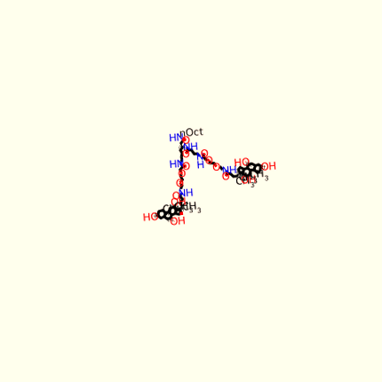 CCCCCCCCNC(=O)C[C@H](CCCCNC(=O)COCCOCCNC(=O)CCC(C)[C@H]1CCC2C3C(C[C@H](O)[C@@]21C)[C@@]1(C)CC[C@@H](O)CC1C[C@H]3O)NC(=O)CCCNC(=O)COCCOCCNC(=O)CCC(C)[C@H]1CCC2C3C(C[C@H](O)[C@@]21C)[C@@]1(C)CC[C@@H](O)CC1C[C@H]3O